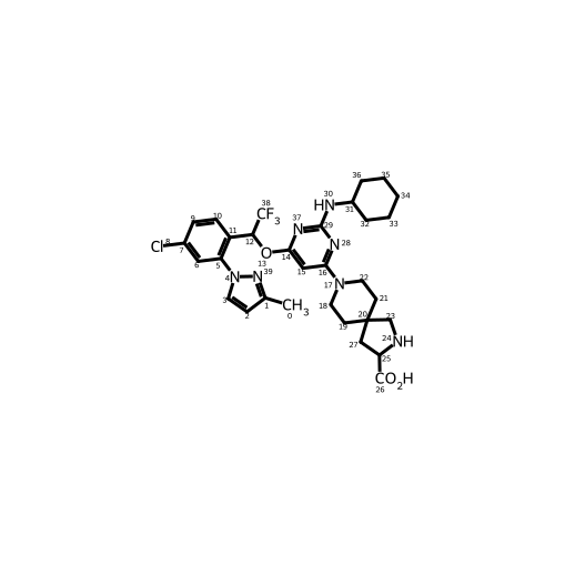 Cc1ccn(-c2cc(Cl)ccc2C(Oc2cc(N3CCC4(CC3)CNC(C(=O)O)C4)nc(NC3CCCCC3)n2)C(F)(F)F)n1